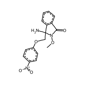 CON1C(=O)c2ccccc2C1(N)COc1ccc([N+](=O)[O-])cc1